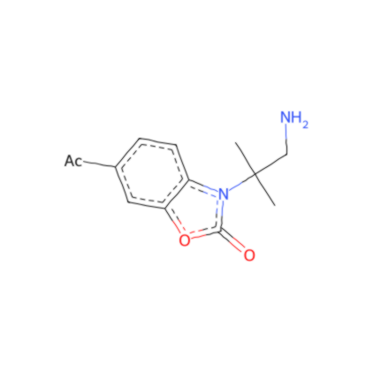 CC(=O)c1ccc2c(c1)oc(=O)n2C(C)(C)CN